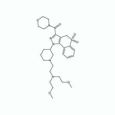 COCCN(CCOC)CCN1CCCC(n2nc(C(=O)N3CCOCC3)c3c2-c2ccccc2S(=O)(=O)C3)C1